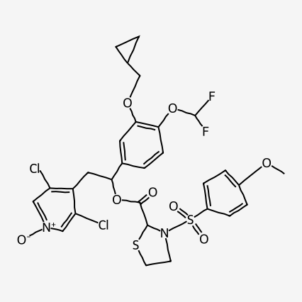 COc1ccc(S(=O)(=O)N2CCSC2C(=O)OC(Cc2c(Cl)c[n+]([O-])cc2Cl)c2ccc(OC(F)F)c(OCC3CC3)c2)cc1